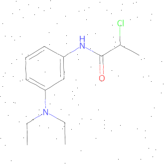 CCN(CC)c1cccc(NC(=O)C(C)Cl)c1